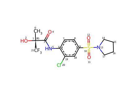 C[C@@](O)(C(=O)Nc1ccc(S(=O)(=O)N2CCCC2)cc1Cl)C(F)(F)F